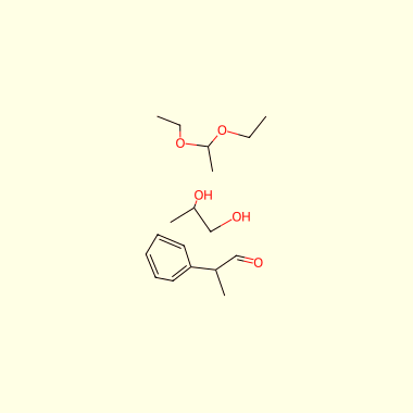 CC(C=O)c1ccccc1.CC(O)CO.CCOC(C)OCC